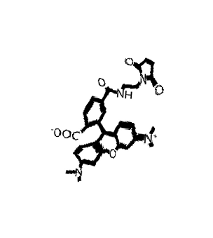 CN(C)c1ccc2c(-c3cc(C(=O)NCCN4C(=O)C=CC4=O)ccc3C(=O)[O-])c3ccc(=[N+](C)C)cc-3oc2c1